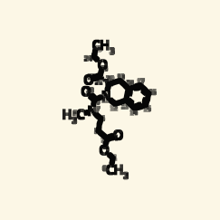 CCOC(=O)CCN(C)C(=O)N1Cc2ccccc2C[C@H]1C(=O)OCC